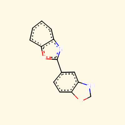 [c]1cc2c(cc1-c1nc3ccccc3o1)NCO2